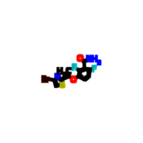 CC(Oc1ccc(F)c(C(N)=O)c1F)c1nc(Br)cs1